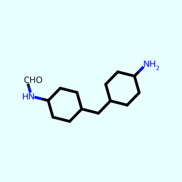 NC1CCC(CC2CCC(NC=O)CC2)CC1